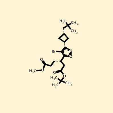 COC(=O)CC[C@@H](CC(=O)OC(C)(C)C)c1onc([C@H]2C[C@@H](CC(C)(C)C)C2)c1Br